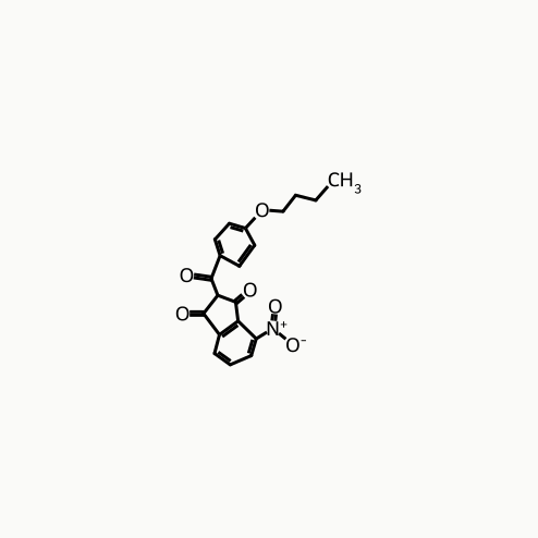 CCCCOc1ccc(C(=O)C2C(=O)c3cccc([N+](=O)[O-])c3C2=O)cc1